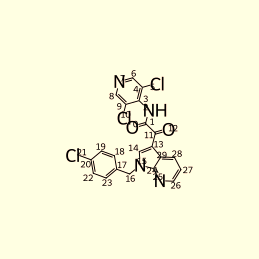 O=C(Nc1c(Cl)cncc1Cl)C(=O)c1cn(Cc2ccc(Cl)cc2)c2ncccc12